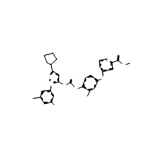 CNC(=O)c1cc(Oc2ccc(NC(=O)Nc3cc(C4CCCC4)nn3-c3cc(Cl)cc(Cl)c3)c(Cl)c2)ccn1